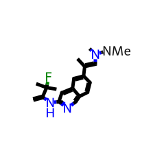 C=C(Nc1cc2cc(/C(C)=C/N(C)NC)ccc2cn1)C(C)(C)F